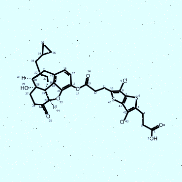 O=C(O)CCc1sc2c(Cl)c(CCC(=O)Oc3ccc4c5c3O[C@H]3C(=O)CC[C@@]6(O)[C@@H](C4)N(CC4CC4)CC[C@]536)sc2c1Cl